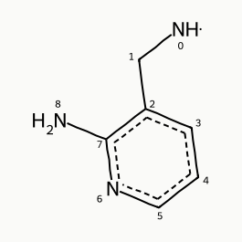 [NH]Cc1cccnc1N